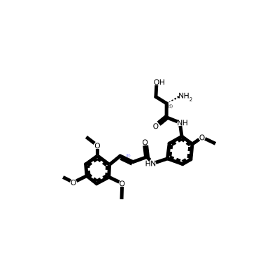 COc1cc(OC)c(/C=C/C(=O)Nc2ccc(OC)c(NC(=O)[C@@H](N)CO)c2)c(OC)c1